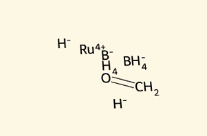 C=O.[BH4-].[BH4-].[H-].[H-].[Ru+4]